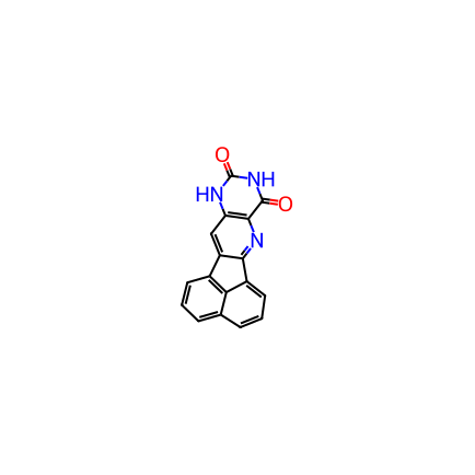 O=c1[nH]c(=O)c2nc3c(cc2[nH]1)-c1cccc2cccc-3c12